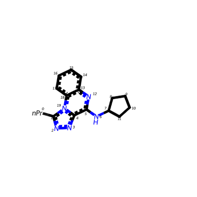 CCCc1nnc2c(NC3CCCC3)nc3ccccc3n12